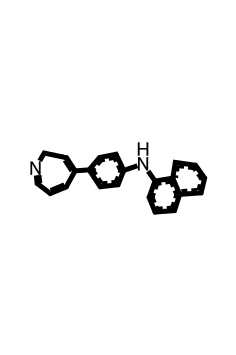 C1=CC(c2ccc(Nc3cccc4ccccc34)cc2)=CCN=C1